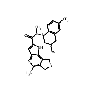 CC(=O)N1Cc2cc(C(F)(F)F)ccc2[C@H](N(C)C(=O)c2cc3nc(N)c4c(c3[nH]2)COC4)C1